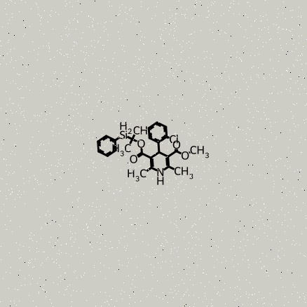 COC(=O)C1=C(C)NC(C)=C(C(=O)OC(C)(C)[SiH2]c2ccccc2)C1c1ccccc1Cl